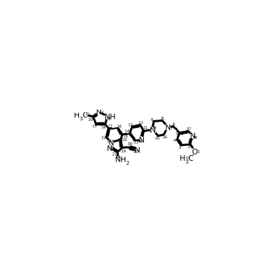 COc1ccc(CN2CCN(c3ccc(-c4cc(-c5cc(C)n[nH]5)cn5nc(N)c(C#N)c45)cn3)CC2)cn1